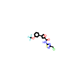 O=C(Nc1nc(CCl)ns1)c1cc(-c2cccc(OC(F)(F)F)c2)co1